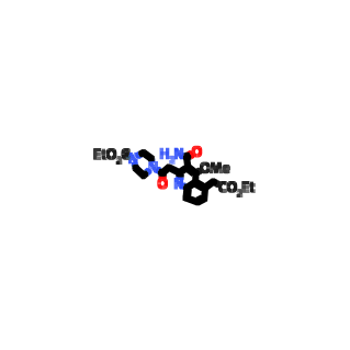 CCOC(=O)Cc1cccc2nc(CC(=O)N3CCN(C(=O)OCC)CC3)c(C(N)=O)c(OC)c12